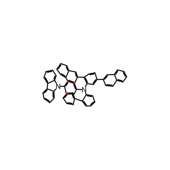 c1ccc(-c2ccccc2N(c2ccc(-n3c4ccccc4c4ccccc43)cc2)c2cc(-c3ccc4ccccc4c3)ccc2-c2ccc3ccccc3c2)cc1